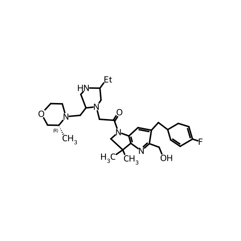 CCC1CN(CC(=O)N2CC(C)(C)c3nc(CO)c(CC4C=CC(F)=CC4)cc32)C(CN2CCOC[C@H]2C)CN1